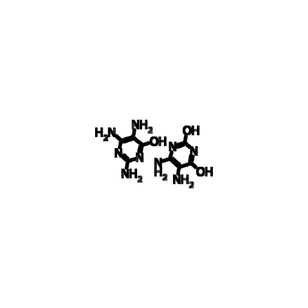 Nc1nc(N)c(N)c(O)n1.Nc1nc(O)nc(O)c1N